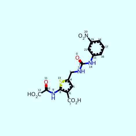 O=C(NCc1cc(C(=O)O)c(NC(=O)C(=O)O)s1)Nc1cccc([N+](=O)[O-])c1